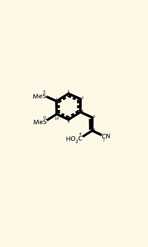 CSc1ccc(C=C(C#N)C(=O)O)cc1SC